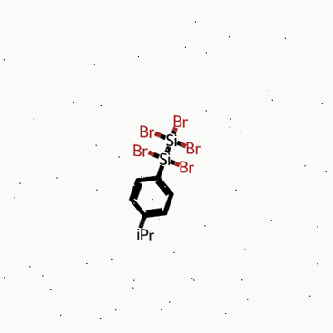 CC(C)c1ccc([Si](Br)(Br)[Si](Br)(Br)Br)cc1